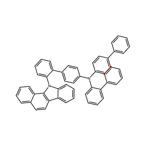 c1ccc(-c2ccc(N(c3ccc(-c4ccccc4-n4c5ccccc5c5ccc6ccccc6c54)cc3)c3ccccc3-c3ccccc3)cc2)cc1